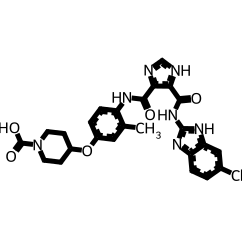 Cc1cc(OC2CCN(C(=O)O)CC2)ccc1NC(=O)c1nc[nH]c1C(=O)Nc1nc2ccc(Cl)cc2[nH]1